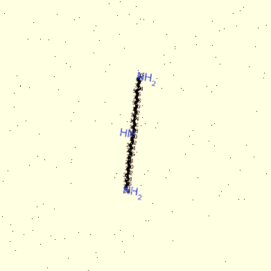 NCCCCCCCCCCCCCCCCCCNCCCCCCCCCCCCCCCCCCN